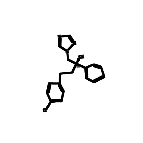 N#C[C@@](CCc1ccc(Cl)cc1)(Cn1cncn1)c1ccccc1